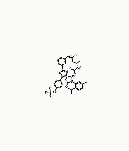 Cc1ccc(C(C)C)c(N2C(=O)CS/C2=N\C(=S)NC(C)C/C(Br)=C\c2cccc(-c3ncn(-c4ccc(OC(F)(F)F)cc4)n3)c2)c1